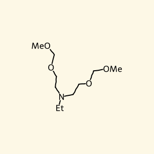 CCN(CCOCOC)CCOCOC